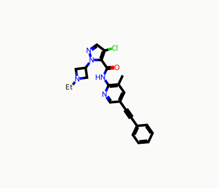 CCN1CC(n2ncc(Cl)c2C(=O)Nc2ncc(C#Cc3ccccc3)cc2C)C1